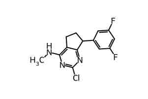 CNc1nc(Cl)nc2c1CCC2c1cc(F)cc(F)c1